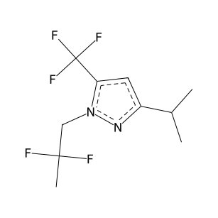 CC(C)c1cc(C(F)(F)F)n(CC(C)(F)F)n1